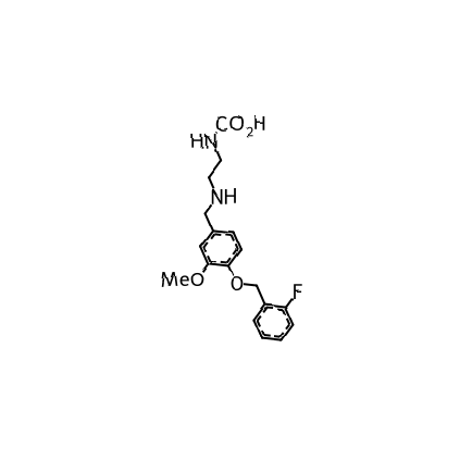 COc1cc(CNCCNC(=O)O)ccc1OCc1ccccc1F